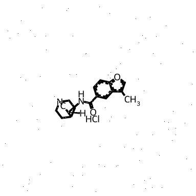 Cc1coc2ccc(C(=O)N[C@H]3CN4CCC3CC4)cc12.Cl